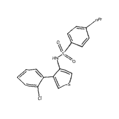 CCCc1ccc(S(=O)(=O)Nc2cscc2-c2ccccc2Cl)cc1